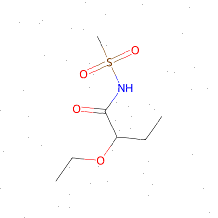 CCOC(CC)C(=O)NS(C)(=O)=O